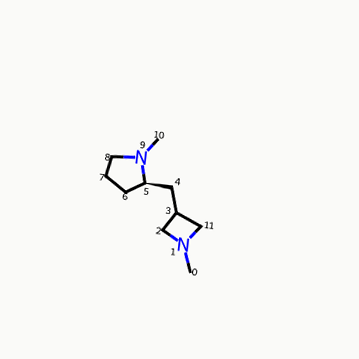 CN1CC(C[C@H]2CCCN2C)C1